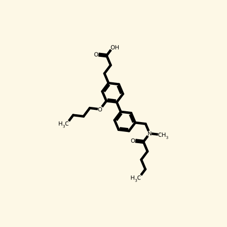 CCCCOc1cc(CCC(=O)O)ccc1-c1cccc(CN(C)C(=O)CCCC)c1